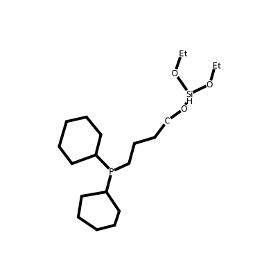 CCO[SiH](OCC)OCCCCP(C1CCCCC1)C1CCCCC1